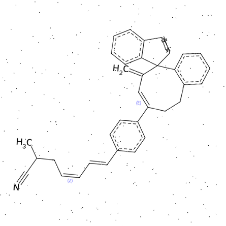 C=C1/C=C(/c2ccc(C=C/C=C\CC(C)C#N)cc2)CCc2ccccc2C12c1ccccc1-c1ccccc12